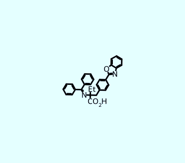 CCC(Cc1ccc(-c2nc3ccccc3o2)cc1)(N=C(c1ccccc1)c1ccccc1)C(=O)O